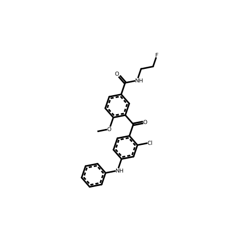 COc1ccc(C(=O)NCCF)cc1C(=O)c1ccc(Nc2ccccc2)cc1Cl